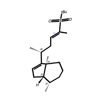 C/C(=C\C[C@@H](C)C1=CC[C@H]2[C@@H](C)CCC[C@]12C)S(=O)(=O)C(C)(C)C